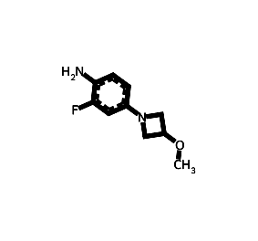 COC1CN(c2ccc(N)c(F)c2)C1